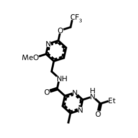 CCC(=O)Nc1nc(C)cc(C(=O)NCc2ccc(OCC(F)(F)F)nc2OC)n1